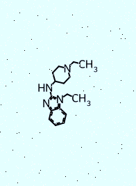 CCN1CCC(Nc2nc3ccccc3n2CC)CC1